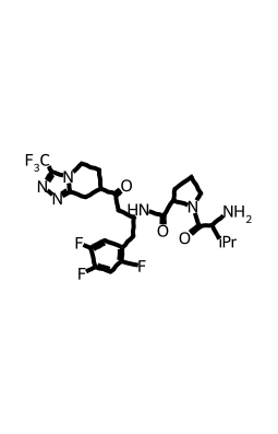 CC(C)C(N)C(=O)N1CCCC1C(=O)NC(CC(=O)C1CCn2c(nnc2C(F)(F)F)C1)Cc1cc(F)c(F)cc1F